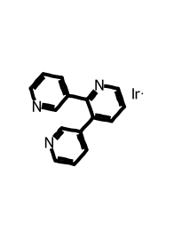 [Ir].c1cncc(-c2cccnc2-c2cccnc2)c1